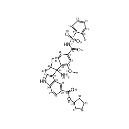 COc1cc(C(=O)NS(=O)(=O)c2ccccc2C)ccc1C(N)(c1c[nH]c2ccc(C(=O)OC3CCCC3)cc12)C(F)F